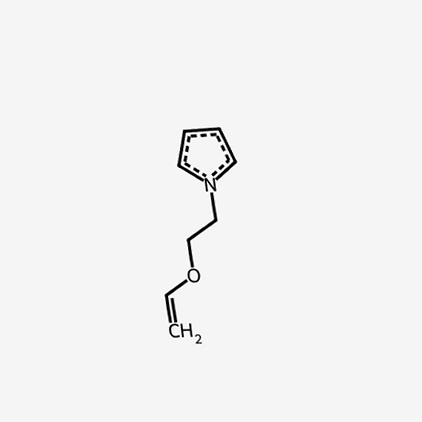 C=COCCn1cccc1